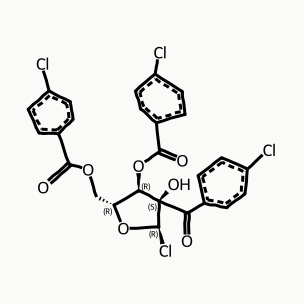 O=C(OC[C@H]1O[C@H](Cl)[C@@](O)(C(=O)c2ccc(Cl)cc2)[C@@H]1OC(=O)c1ccc(Cl)cc1)c1ccc(Cl)cc1